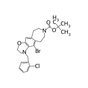 CC(C)(C)OC(=O)N1CCc2cc3c(c(Br)c2CC1)N(Cc1ccccc1Cl)CCO3